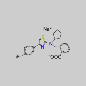 CC(C)c1ccc(-c2csc(N(Cc3ccccc3C(=O)[O-])C3CCCC3)n2)cc1.[Na+]